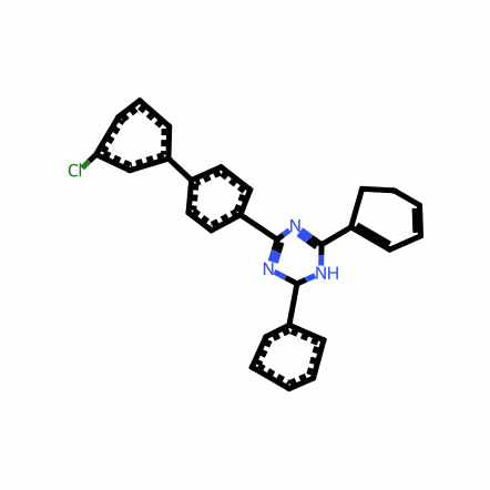 Clc1cccc(-c2ccc(C3=NC(c4ccccc4)NC(C4=CC=CCC4)=N3)cc2)c1